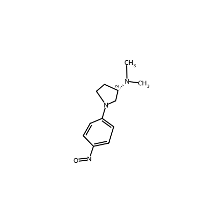 CN(C)[C@H]1CCN(c2ccc(N=O)cc2)C1